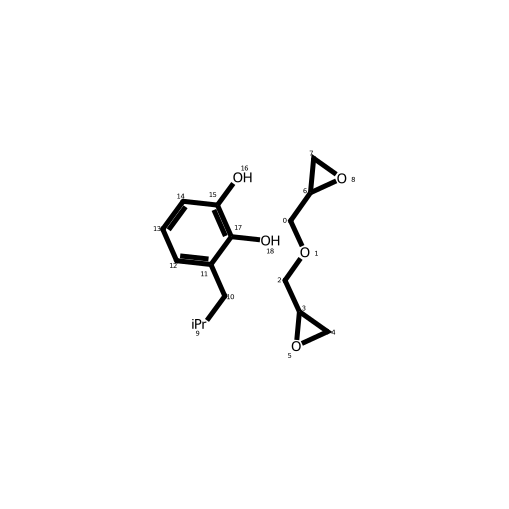 C(OCC1CO1)C1CO1.CC(C)Cc1cccc(O)c1O